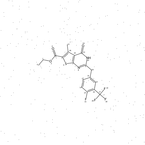 CCOC(=O)c1sc2nc(Cc3ccc(F)c(C(F)(F)F)c3)[nH]c(=O)c2c1C